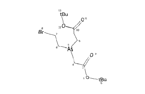 CC(C)(C)OC(=O)C[As](CCBr)CC(=O)OC(C)(C)C